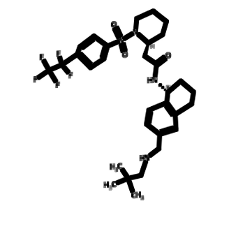 CC(C)(C)CNCc1ccc2c(c1)CCC[C@H]2NC(=O)C[C@@H]1CCCCN1S(=O)(=O)c1ccc(C(F)(F)C(F)(F)F)cc1